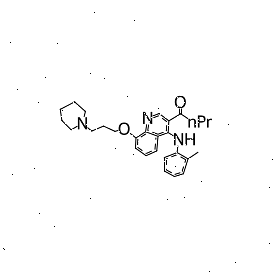 CCCC(=O)c1cnc2c(OCCCN3CCCCC3)cccc2c1Nc1ccccc1C